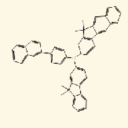 CC1(C)C2=C(C=CC(N(c3ccc(-c4ccc5ccccc5c4)cc3)c3ccc4c(c3)C(C)(C)c3ccccc3-4)C2)c2cc3ccccc3cc21